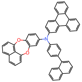 c1ccc2c(-c3ccc(N(c4ccc5c(c4)Oc4cccc6cccc(c46)O5)c4ccc5c6ccccc6c6ccccc6c5c4)cc3)cccc2c1